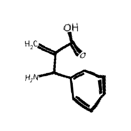 C=C(C(=O)O)C(N)c1ccccc1